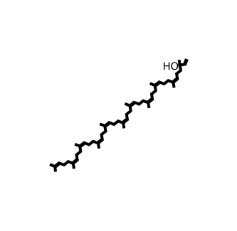 C=CC(C)(O)CCC=C(C)CCC=C(C)CCC=C(C)CCC=C(C)CCC=C(C)CCC=C(C)CCC=C(C)CCC=C(C)CCC=C(C)CCC=C(C)C